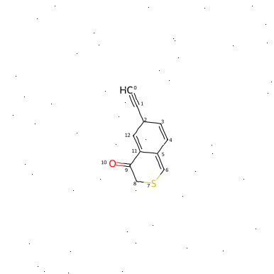 C#CC1C=CC2=CSCC(=O)C2=C1